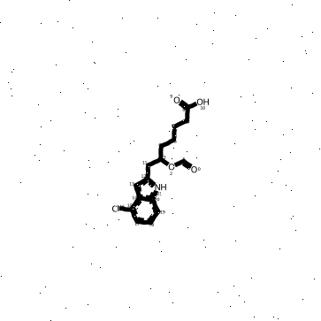 O=COC(CCCCC(=O)O)Cc1cc2c(Cl)cccc2[nH]1